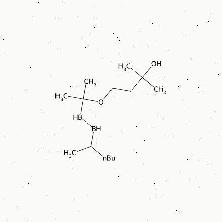 CCCCC(C)BBC(C)(C)OCCC(C)(C)O